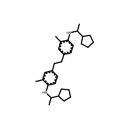 Cc1cc(CCc2ccc(NC(C)C3CCCC3)c(C)c2)ccc1NC(C)C1CCCC1